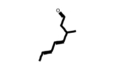 CC=CC=CC(C)CC=O